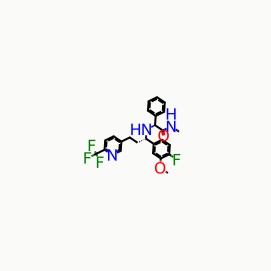 CNC(=O)[C@@H](N[C@@H](CCc1ccc(C(F)(F)F)nc1)c1ccc(F)c(OC)c1)c1ccccc1